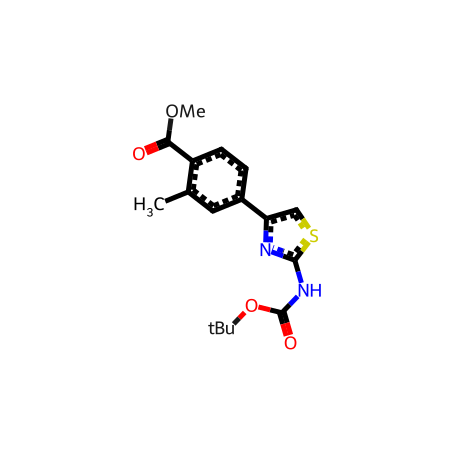 COC(=O)c1ccc(-c2csc(NC(=O)OC(C)(C)C)n2)cc1C